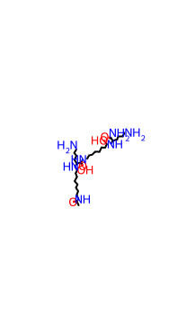 CC(=O)NCCCCCCCC(O)NC(CCCCN)C(=O)NCCCCCCCC(O)NC(CCCCN)C(N)=O